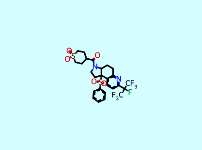 O=C(C1CCS(=O)(=O)CC1)N1CCC2(S(=O)(=O)c3ccccc3)c3ccc(C(F)(C(F)(F)F)C(F)(F)F)nc3CCC12